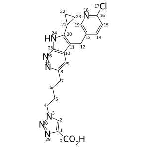 O=C(O)c1cn(CCCCc2cc3c(Cc4ccc(Cl)nc4)c(C4CC4)[nH]c3nn2)nn1